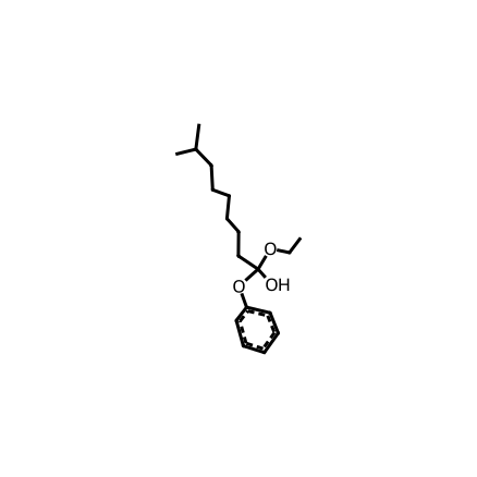 CCOC(O)(CCCCCCC(C)C)Oc1ccccc1